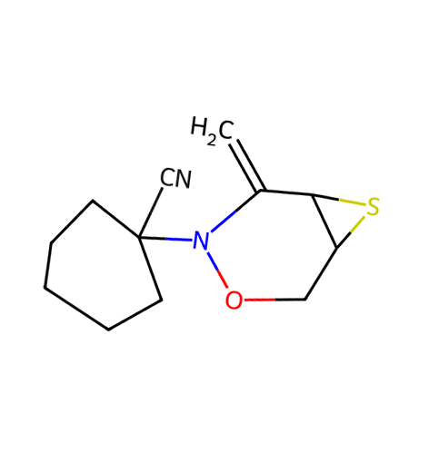 C=C1C2SC2CON1C1(C#N)CCCCC1